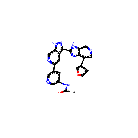 CCCCC(=O)Nc1cncc(-c2cc3c(-c4nc5c(-c6ccoc6)cncc5[nH]4)n[nH]c3cn2)c1